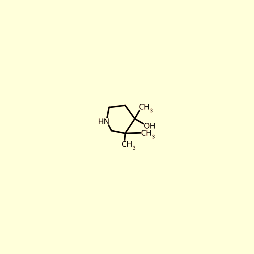 CC1(C)CNCCC1(C)O